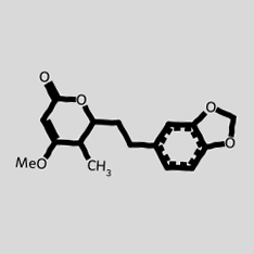 COC1=CC(=O)OC(CCc2ccc3c(c2)OCO3)C1C